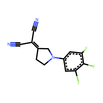 N#CC(C#N)=C1CCN(c2cc(F)c(F)c(F)c2)C1